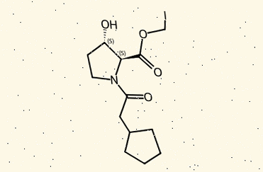 O=C(OCI)[C@@H]1[C@@H](O)CCN1C(=O)CC1CCCC1